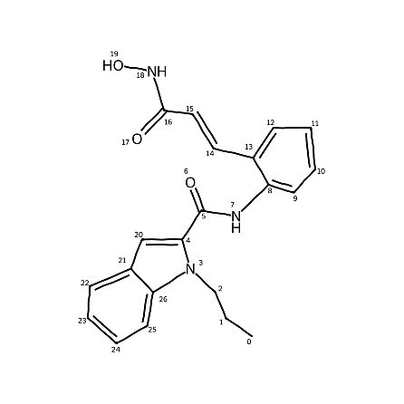 CCCn1c(C(=O)Nc2ccccc2/C=C/C(=O)NO)cc2ccccc21